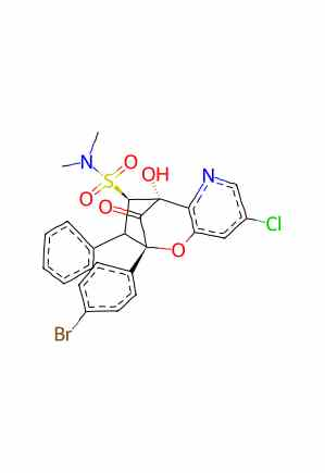 CN(C)S(=O)(=O)[C@@H]1C(c2ccccc2)[C@@]2(c3ccc(Br)cc3)Oc3cc(Cl)cnc3[C@@]1(O)C2=O